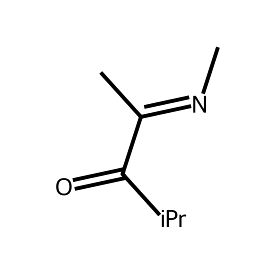 CN=C(C)C(=O)C(C)C